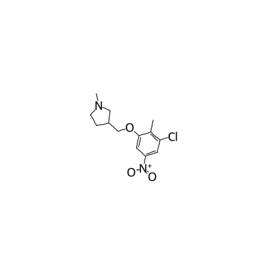 Cc1c(Cl)cc([N+](=O)[O-])cc1OCC1CCN(C)C1